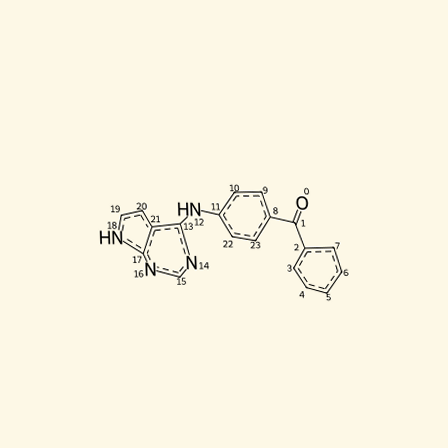 O=C(c1ccccc1)c1ccc(Nc2ncnc3[nH]ccc23)cc1